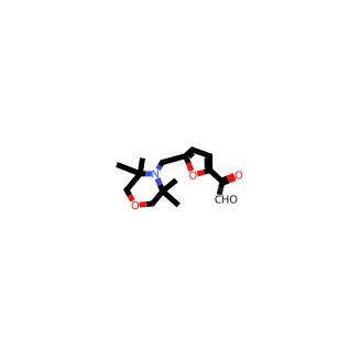 CC1(C)COCC(C)(C)N1Cc1ccc(C(=O)C=O)o1